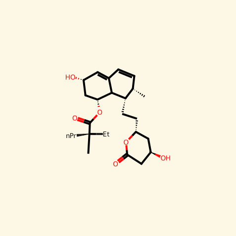 CCC[C@](C)(CC)C(=O)O[C@@H]1C[C@H](O)C=C2C=C[C@H](C)[C@H](CC[C@@H]3C[C@@H](O)CC(=O)O3)C21